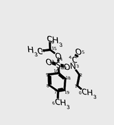 CCCN=C=O.Cc1ccc(S(=O)(=O)OC(C)C)cc1